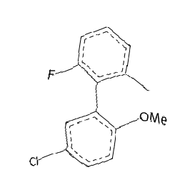 COc1ccc(Cl)cc1-c1c(C)cccc1F